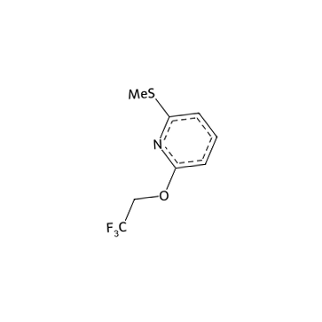 CSc1cccc(OCC(F)(F)F)n1